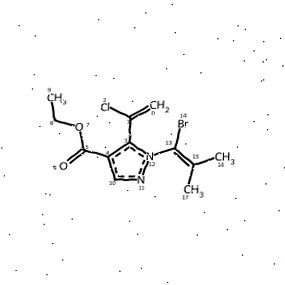 C=C(Cl)c1c(C(=O)OCC)cnn1C(Br)=C(C)C